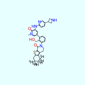 [2H]C1([2H])Cc2sc3c(c2C([2H])([2H])C1([2H])[2H])CCN(c1cccc(-c2cc(Nc4ccc(C5CNC5)cn4)c(=O)n(C)c2)c1CO)C3=O